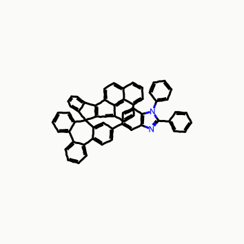 c1ccc(-c2nc3cc(-c4ccc5c(c4)C4(c6ccccc6-c6ccccc6-5)c5ccccc5-c5c4cc4ccc6cccc7ccc5c4c67)ccc3n2-c2ccccc2)cc1